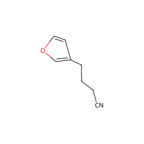 N#CCCCc1ccoc1